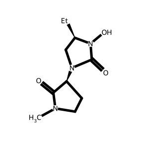 CC[C@@H]1CN([C@H]2CCN(C)C2=O)C(=O)N1O